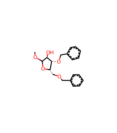 COC1O[C@@H](COCc2ccccc2)[C@@H](OCc2ccccc2)[C@@H]1O